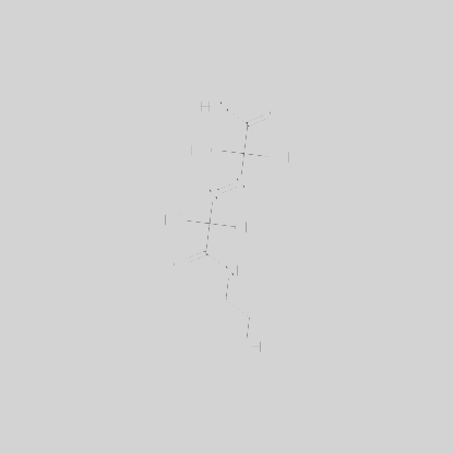 CC(C)(N=NC(C)(C)C(=O)NCCS)C(N)=O